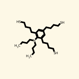 CCCCN(CCCC)c1c(CCCCS)cc(CCCCS)cc1CCCCS